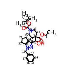 CCOC(=O)C1(C(O)c2nn(Cc3ccccc3)c3c2CCC3)CCN(C(=O)OC(C)(C)C)CC1